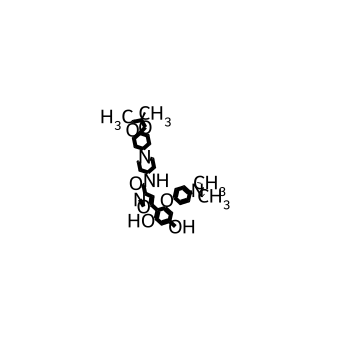 C[C@@H]1OC2(CCC(N3CCC(NC(=O)c4cc(-c5c(O)cc(O)cc5Oc5ccc(N(C)C)cc5)on4)CC3)CC2)O[C@@H]1C